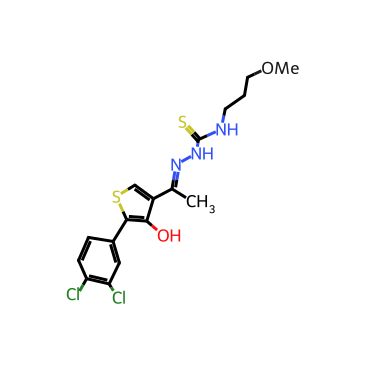 COCCCNC(=S)NN=C(C)c1csc(-c2ccc(Cl)c(Cl)c2)c1O